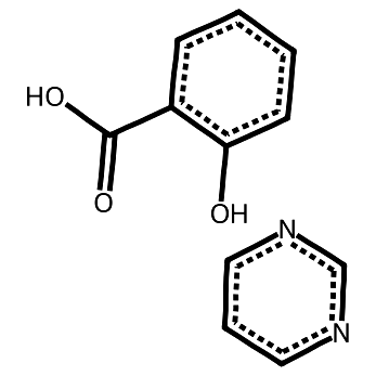 O=C(O)c1ccccc1O.c1cncnc1